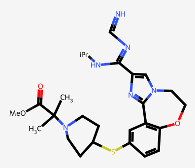 COC(=O)C(C)(C)N1CCC(Sc2ccc3c(c2)-c2nc(/C(=N/C=N)NC(C)C)cn2CCO3)CC1